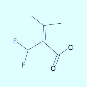 CC(C)=C(C(=O)Cl)C(F)F